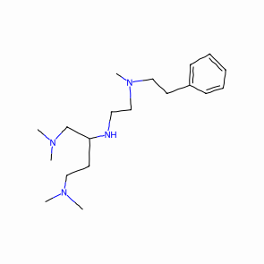 CN(C)CCC(CN(C)C)NCCN(C)CCc1ccccc1